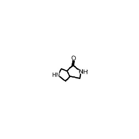 O=C1NCC2CNCC12